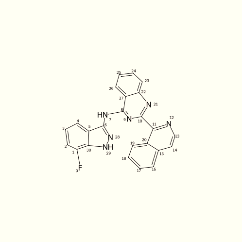 Fc1cccc2c(Nc3nc(-c4nccc5ccccc45)nc4ccccc34)n[nH]c12